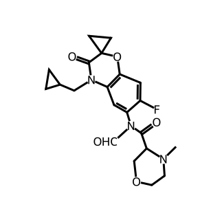 CN1CCOCC1C(=O)N(C=O)c1cc2c(cc1F)OC1(CC1)C(=O)N2CC1CC1